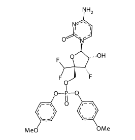 COc1ccc(OP(=O)(OC[C@@]2(C(F)F)O[C@@H](n3ccc(N)nc3=O)[C@H](O)[C@@H]2F)Oc2ccc(OC)cc2)cc1